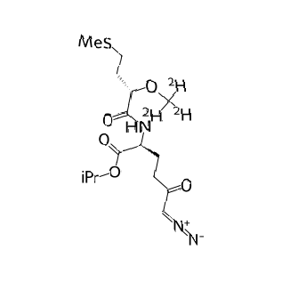 [2H]C([2H])([2H])O[C@@H](CCSC)C(=O)N[C@@H](CCC(=O)C=[N+]=[N-])C(=O)OC(C)C